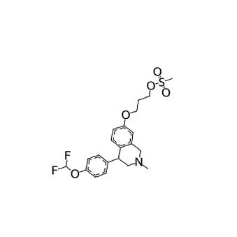 CN1Cc2cc(OCCCOS(C)(=O)=O)ccc2C(c2ccc(OC(F)F)cc2)C1